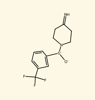 N=C1CCN([S+]([O-])c2cccc(C(F)(F)F)c2)CC1